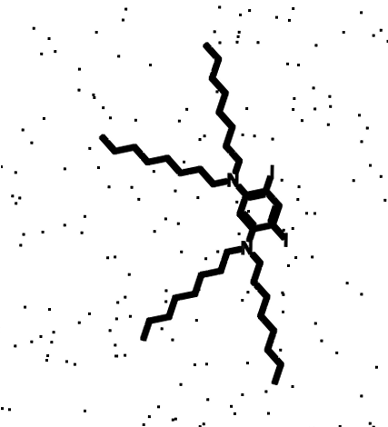 CCCCCCCCN(CCCCCCCC)c1cc(N(CCCCCCCC)CCCCCCCC)c(I)cc1I